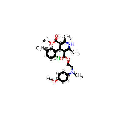 CCCOC(=O)C1=C(C)NC(C)=C(C(=O)OCCN(C)c2ccc(OCC)cc2)C1c1cc([N+](=O)[O-])ccc1Cl